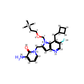 C[Si](C)(C)CCOCn1c(Cn2cccc(N)c2=O)cc2ncc(F)c(CC3CCC3)c21